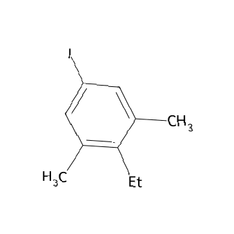 CCc1c(C)cc(I)cc1C